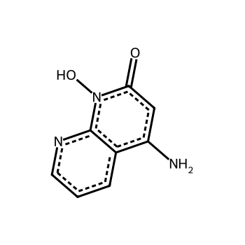 Nc1cc(=O)n(O)c2ncccc12